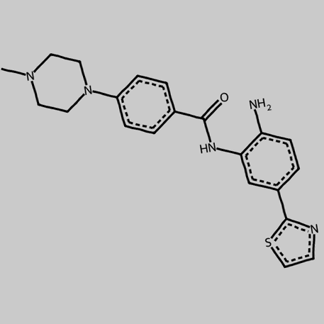 CN1CCN(c2ccc(C(=O)Nc3cc(-c4nccs4)ccc3N)cc2)CC1